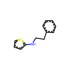 c1ccc(CCNc2cccs2)cc1